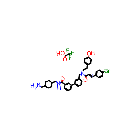 NCC1CCC(CNC(=O)c2cccc(-c3cccc(CN(CCc4ccc(O)cc4)C(=O)/C=C/c4ccc(Br)cc4)c3)c2)CC1.O=C(O)C(F)(F)F